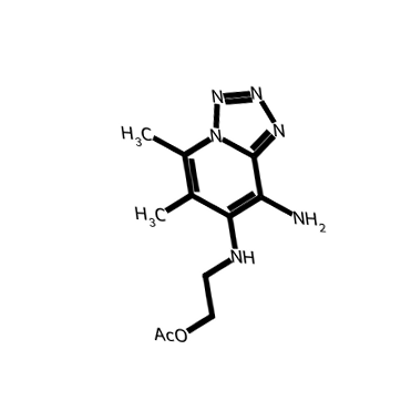 CC(=O)OCCNc1c(C)c(C)n2nnnc2c1N